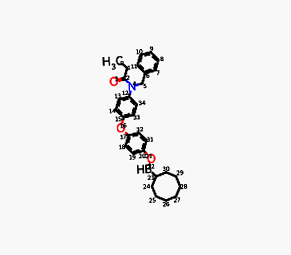 CCC(=O)N(Cc1ccccc1)c1ccc(Oc2ccc(OBC3CCCCCCC3)cc2)cc1